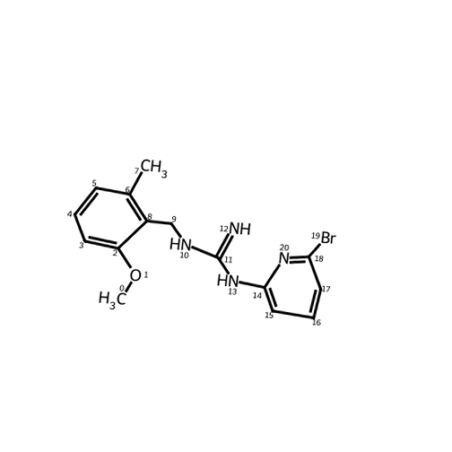 COc1cccc(C)c1CNC(=N)Nc1cccc(Br)n1